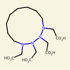 O=C(O)CN1CCCCCCCCN(CC(=O)O)N(CC(=O)O)N1CC(=O)O